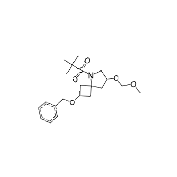 COCOC1CN(S(=O)(=O)C(C)(C)C)C2(C1)CC(OCc1ccccc1)C2